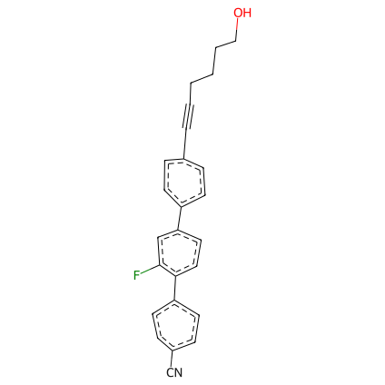 N#Cc1ccc(-c2ccc(-c3ccc(C#CCCCCO)cc3)cc2F)cc1